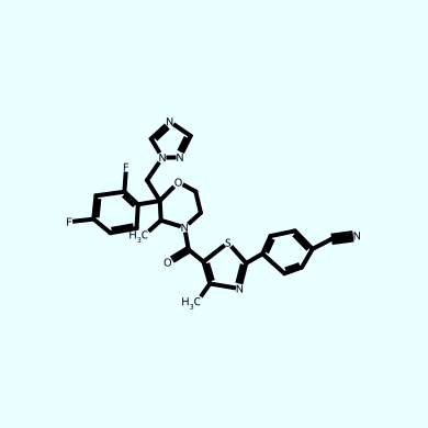 Cc1nc(-c2ccc(C#N)cc2)sc1C(=O)N1CCOC(Cn2cncn2)(c2ccc(F)cc2F)C1C